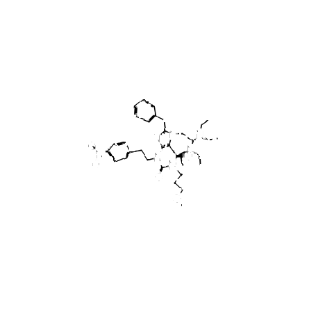 CCN(CC)C(Cn1c(Cc2ccccc2)nc2c1c(=O)n(CCCOC)c(=O)n2CCc1ccc([N+](=O)[O-])cc1)N(CC)CC